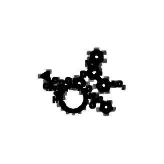 O=C(N[C@H]1CCCCC/C=C\[C@@H]2C[C@@]2(C(=O)NS(=O)(=O)C2CC2)NC(=O)[C@@H]2C[C@@H](Oc3cc(-c4cccc([N+](=O)[O-])c4)nc4c5ccccc5nn34)CN2C1=O)OC1CCCC1